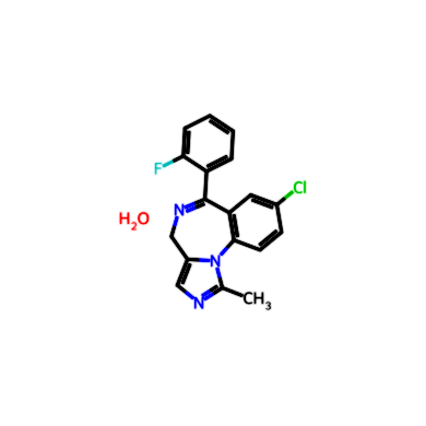 Cc1ncc2n1-c1ccc(Cl)cc1C(c1ccccc1F)=NC2.O